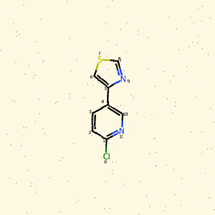 Clc1ccc(-c2cs[c]n2)cn1